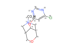 O=C(O)N1CC2COCC(C1)C2Oc1cc(Cl)ncn1